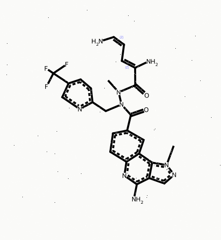 CN(C(=O)/C(N)=C/C=C\N)N(Cc1ccc(C(F)(F)F)cn1)C(=O)c1ccc2nc(N)c3cnn(C)c3c2c1